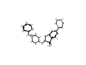 O=C1c2ccc(N3CCOCC3)cc2CC1CC1CCN(Cc2ccccc2)CC1